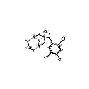 C[N+]1(Cc2cc(Cl)c(Cl)cc2Cl)CN2CNCN(C2)C1